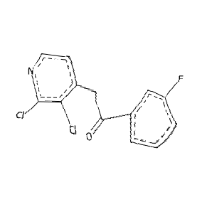 O=C(Cc1ccnc(Cl)c1Cl)c1cccc(F)c1